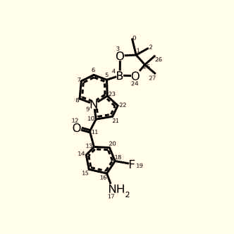 CC1(C)OB(c2cccn3c(C(=O)c4ccc(N)c(F)c4)ccc23)OC1(C)C